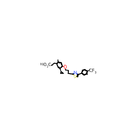 Cc1cc(OCCCc2nc(-c3ccc(C(F)(F)F)cc3)cs2)c(C2CC2)cc1CCC(=O)O